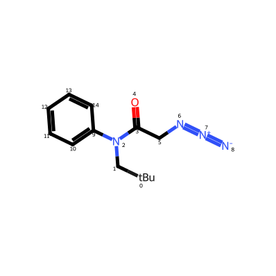 CC(C)(C)CN(C(=O)CN=[N+]=[N-])c1ccccc1